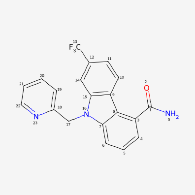 NC(=O)c1cccc2c1c1[c]cc(C(F)(F)F)cc1n2Cc1ccccn1